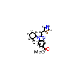 COC(=O)c1ccc2c(c1)nc(Cc1cncs1)n2C1CCCC[C@H]1C